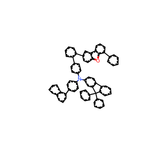 c1ccc(-c2cccc3c2oc2ccc(-c4ccccc4-c4ccc(N(c5ccc(-c6cccc7ccccc67)cc5)c5ccc6c(c5)C(c5ccccc5)(c5ccccc5)c5ccccc5-6)cc4)cc23)cc1